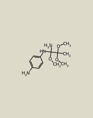 COC([SiH3])(Nc1ccc(N)cc1)C(C)(OC)OC